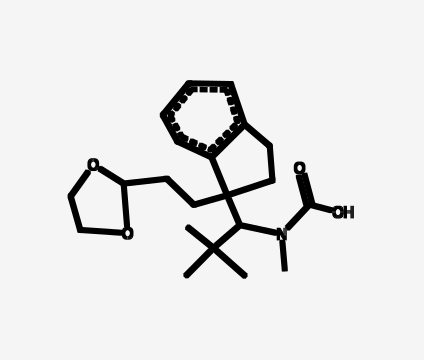 CN(C(=O)O)C(C(C)(C)C)C1(CCC2OCCO2)CCc2ccccc21